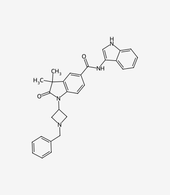 CC1(C)C(=O)N(C2CN(Cc3ccccc3)C2)c2ccc(C(=O)Nc3c[nH]c4ccccc34)cc21